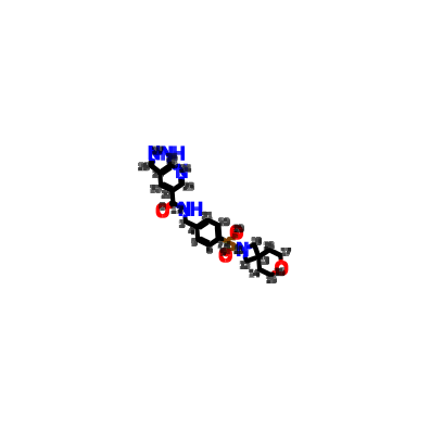 O=C(NCc1ccc(S(=O)(=O)N2CC3(CCOCC3)C2)cc1)c1cnc2[nH]ncc2c1